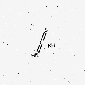 N=C=S.[KH]